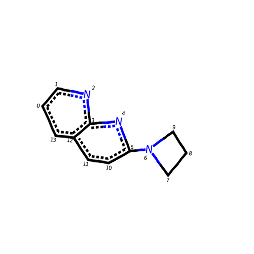 c1cnc2nc(N3CCC3)ccc2c1